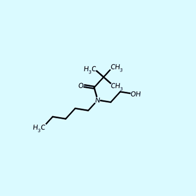 CCCCCN(CCO)C(=O)C(C)(C)C